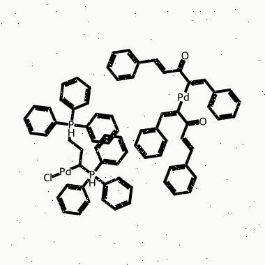 O=C(C=Cc1ccccc1)[C](=Cc1ccccc1)[Pd][C](=Cc1ccccc1)C(=O)C=Cc1ccccc1.[Cl][Pd][CH](CC[PH](c1ccccc1)(c1ccccc1)c1ccccc1)[PH](c1ccccc1)(c1ccccc1)c1ccccc1